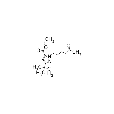 CCOC(=O)c1cc(C(C)(C)C)nn1CCCCC(C)=O